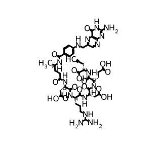 C#CC[C@H](NC(=O)[C@H](CCC(=O)O)NC(=O)[C@H](CC(=O)O)NC(=O)[C@H](CCCNC(N)N)NC(=O)[C@H](CC(=O)O)NC(=O)CC[C@@H](C)NC(=O)c1ccc(NCc2cnc3nc(N)[nH]c(=O)c3n2)cc1)C(=O)O